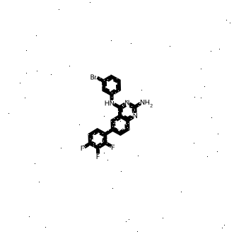 Nc1nc(Nc2cccc(Br)c2)c2cc(-c3ccc(F)c(F)c3F)ccc2n1